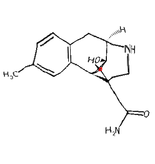 Cc1ccc2c(c1)[C@]13CCN[C@H](C2)[C@]1(O)CC(C(N)=O)C3